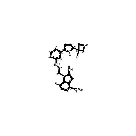 COc1ccc(F)c2c1cc(C#N)n2CCNc1cc(-c2ccc(C3(F)COC3)s2)ncn1